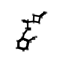 O=C1CC(C(=O)NCc2ccccc2Cl)C1